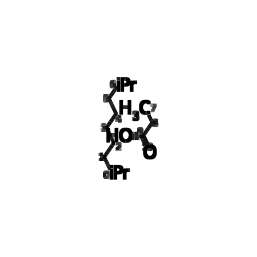 CC(C)CCCCCC(C)C.CCC(=O)O